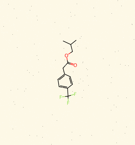 CC(C)COC(=O)Cc1ccc(C(F)(F)F)cc1